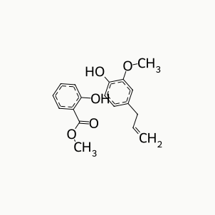 C=CCc1ccc(O)c(OC)c1.COC(=O)c1ccccc1O